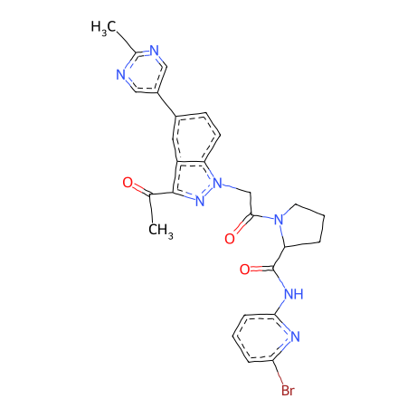 CC(=O)c1nn(CC(=O)N2CCCC2C(=O)Nc2cccc(Br)n2)c2ccc(-c3cnc(C)nc3)cc12